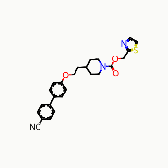 N#Cc1ccc(-c2ccc(OCCC3CCN(C(=O)OCc4nccs4)CC3)cc2)cc1